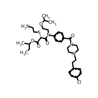 CCC(C)OC(=O)[C@H](SCCN)C(=O)N(CCOC(C)C)c1ccc(C(=O)N2CCN(CCc3ccc(Cl)cc3)CC2)cc1